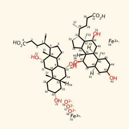 C[C@H](CCC(=O)O)[C@H]1CCC2C3C(C[C@H](O)[C@@]21C)[C@@]1(C)CC[C@@H](O)C[C@H]1C[C@H]3O.C[C@H](CCC(=O)O)[C@H]1CCC2[C@H]3[C@H](O)C[C@@H]4C[C@H](O)CC[C@]4(C)[C@@H]3C[C@H](O)[C@@]21C.[Fe+3].[Fe+3].[O-2].[O-2].[O-2]